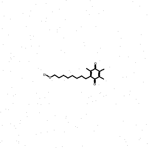 CCOCCCCCCCCC1=C(C)C(=O)C(C)=C(C)C1=O